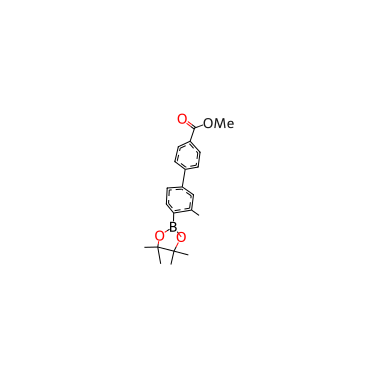 COC(=O)c1ccc(-c2ccc(B3OC(C)(C)C(C)(C)O3)c(C)c2)cc1